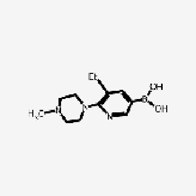 CCc1cc(B(O)O)cnc1N1CCN(C)CC1